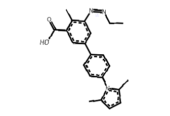 CC/N=N\c1cc(-c2ccc(-n3c(C)ccc3C)cc2)cc(C(=O)O)c1C